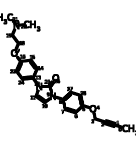 CC#CCOc1ccc(-n2ccn(-c3ccc(OCCN(C)C)cc3)c2=O)cc1